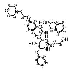 O=C(N[C@@H](Cc1ccccc1)[C@@H](O)C[C@@H](Cc1ccc(OCCN2CCOCC2)cc1)C(=O)N[C@H]1c2ccccc2C[C@H]1O)OCCO